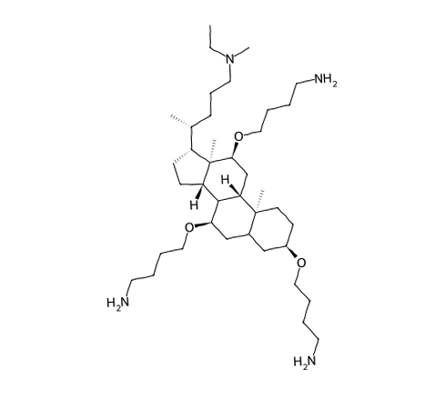 CCN(C)CCC[C@@H](C)[C@H]1CC[C@H]2C3[C@H](OCCCCN)CC4C[C@H](OCCCCN)CC[C@]4(C)[C@H]3C[C@H](OCCCCN)[C@]12C